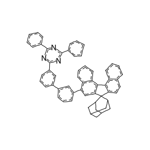 c1ccc(-c2nc(-c3ccccc3)nc(-c3cccc(-c4cccc(-c5cc6c(c7ccccc57)-c5c(ccc7ccccc57)C65C6CC7CC(C6)CC5C7)c4)c3)n2)cc1